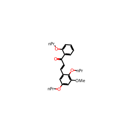 CCCOc1cc(C=CC(=O)c2ccccc2OCCC)c(OCCC)c(OC)c1